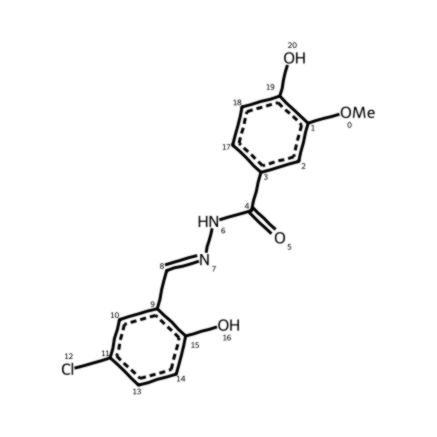 COc1cc(C(=O)N/N=C/c2cc(Cl)ccc2O)ccc1O